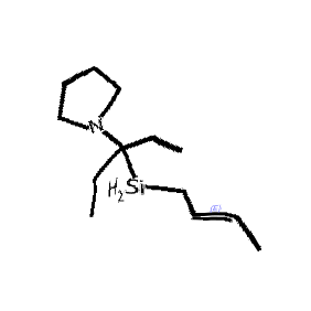 C/C=C/C[SiH2]C(CC)(CC)N1CCCC1